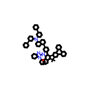 CC1(C)c2cc3c4ccccc4c4ccccc4c3cc2-c2c1c1ccccc1c1c2c2ccc(-c3cccc4c(N(c5cccc(-c6ccccc6)c5)c5cccc(-c6ccccc6)c5)cccc34)cc2n1-c1nc2ccccc2n1-c1ccccc1